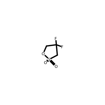 O=S1(=O)CC(F)(F)CO1